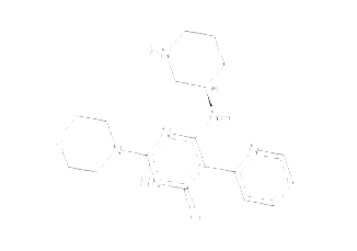 O=c1[nH]c(N2CCOCC2)nc(N[C@@H]2CCCNC2)c1-c1ccccn1